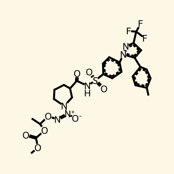 COC(=O)OC(C)O/N=[N+](/[O-])N1CCCC(C(=O)NS(=O)(=O)c2ccc(-n3nc(C(F)(F)F)cc3-c3ccc(C)cc3)cc2)C1